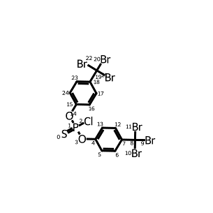 S=P(Cl)(Oc1ccc(C(Br)(Br)Br)cc1)Oc1ccc(C(Br)(Br)Br)cc1